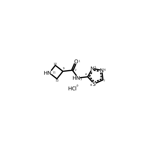 Cl.O=C(Nc1nncs1)C1CNC1